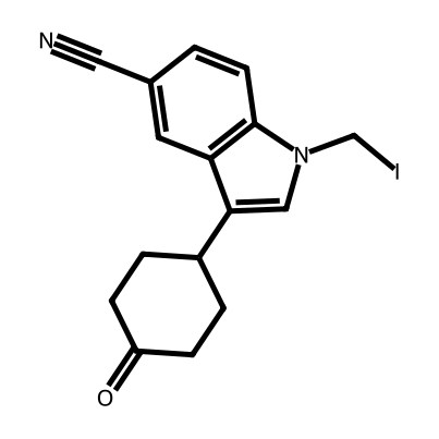 N#Cc1ccc2c(c1)c(C1CCC(=O)CC1)cn2CI